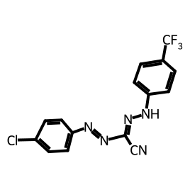 N#CC(N=Nc1ccc(Cl)cc1)=NNc1ccc(C(F)(F)F)cc1